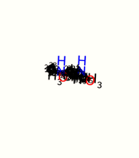 C[C@]12CCC(=O)C=C1NC[C@@H]1[C@H]2CC[C@]2(C)C(C(=O)NCc3ccccc3)CC[C@@H]12